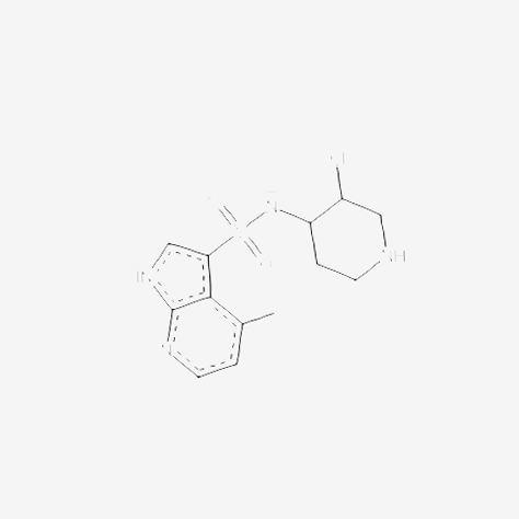 CC1CNCCC1NS(=O)(=O)c1c[nH]c2nccc(Cl)c12